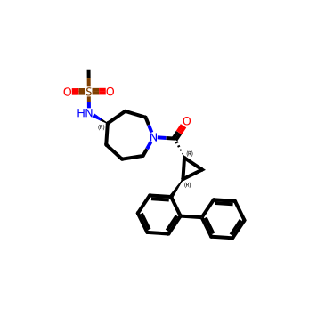 CS(=O)(=O)N[C@@H]1CCCN(C(=O)[C@@H]2C[C@H]2c2ccccc2-c2ccccc2)CC1